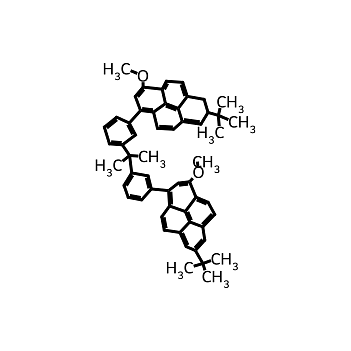 COc1cc(-c2cccc(C(C)(C)c3cccc(-c4cc(OC)c5ccc6cc(C(C)(C)C)cc7ccc4c5c67)c3)c2)c2ccc3c4c(ccc1c24)CC(C(C)(C)C)C=3